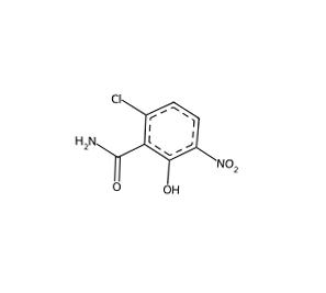 NC(=O)c1c(Cl)ccc([N+](=O)[O-])c1O